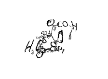 CC(C)OC(=O)C(C(=O)C(=O)O)=C1SCS1.CC1OC1=O